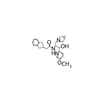 COc1ccc(C(O)C(CN2CC3CC3C2)NC(=O)CC2Cc3ccccc3C2)nc1